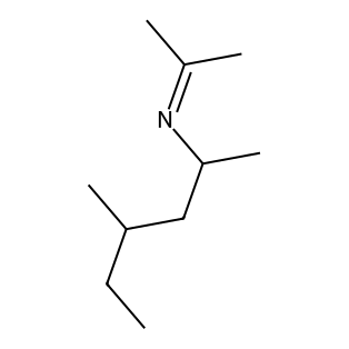 CCC(C)CC(C)N=C(C)C